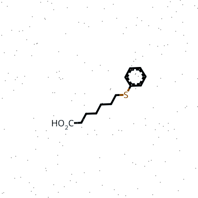 O=C(O)CCCCCCSc1ccccc1